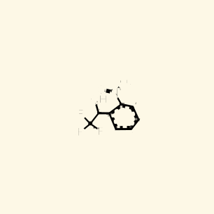 O=[N+]([O-])c1ccccc1C(O)C(F)(F)F